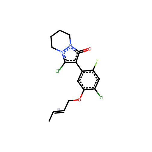 C/C=C/COc1cc(-c2c(Cl)n3n(c2=O)CCCC3)c(F)cc1Cl